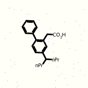 CCCC(CCC)c1ccc(-c2ccccc2)c(CC(=O)O)c1